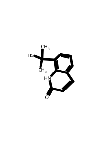 CC(C)(S)c1cccc2ccc(=O)[nH]c12